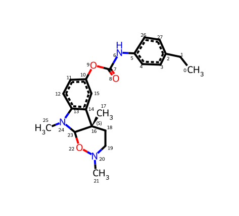 CCc1ccc(NC(=O)Oc2ccc3c(c2)[C@]2(C)CCN(C)OC2N3C)cc1